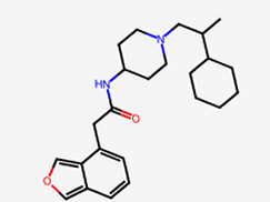 CC(CN1CCC(NC(=O)Cc2cccc3cocc23)CC1)C1CCCCC1